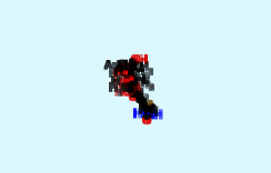 CC(=O)N[C@@](C)(/C(C)=C/O)C(C)(COCC1(C)C(C)(C)OC(C)(OC(=O)CCCCC2SC[C@@H]3NC(=O)N[C@H]23)[C@H](O)C1(C)O)OC(C)(C)CO